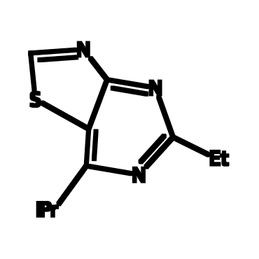 CCc1nc(C(C)C)c2scnc2n1